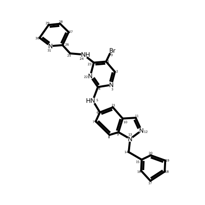 Brc1cnc(Nc2ccc3c(cnn3Cc3ccccc3)c2)nc1NCc1ccccn1